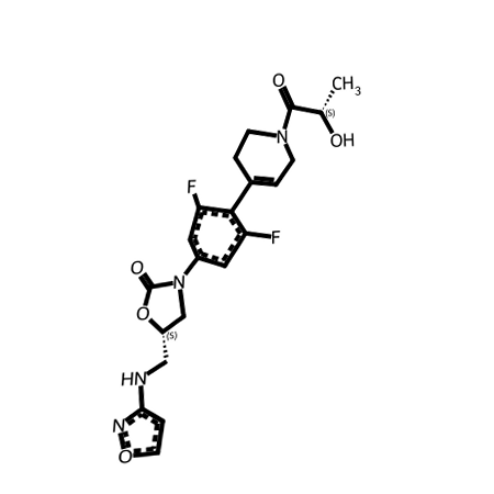 C[C@H](O)C(=O)N1CC=C(c2c(F)cc(N3C[C@H](CNc4ccon4)OC3=O)cc2F)CC1